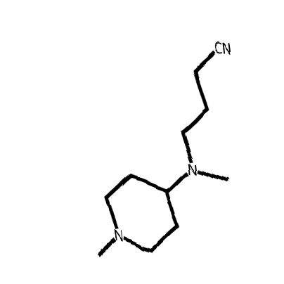 CN1CCC(N(C)CCCC#N)CC1